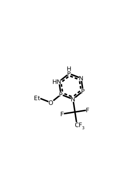 CCOp1[nH][pH]npn1C(F)(F)C(F)(F)F